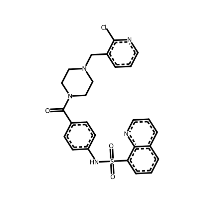 O=C(c1ccc(NS(=O)(=O)c2cccc3cccnc23)cc1)N1CCN(Cc2cccnc2Cl)CC1